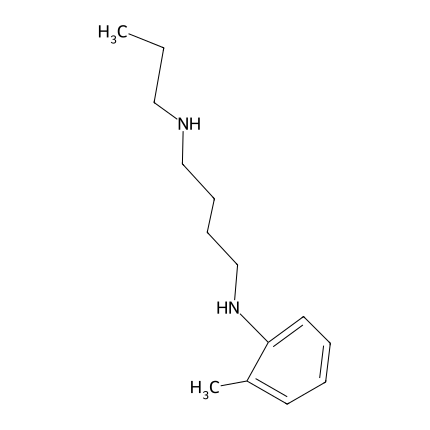 CCCNCCCCNc1ccccc1C